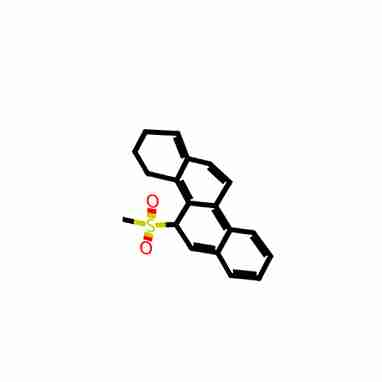 CS(=O)(=O)C1C=c2ccccc2=c2ccc3c(c21)CCCC=3